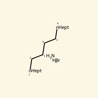 Br.CCCCCCCCCCCCCCCCCC.N